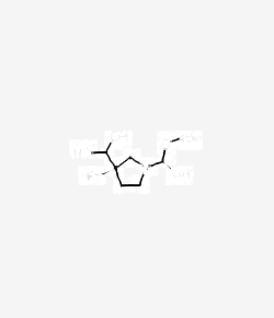 CCC[C@]1(C(O)O)CCN([C@H](O)OC(C)(C)C)C1